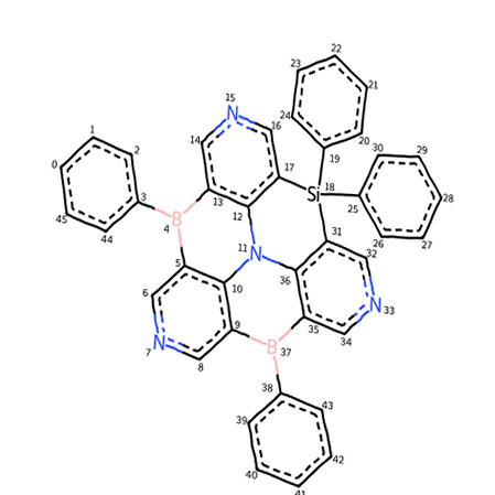 c1ccc(B2c3cncc4c3N3c5c2cncc5[Si](c2ccccc2)(c2ccccc2)c2cncc(c23)B4c2ccccc2)cc1